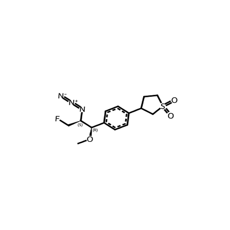 CO[C@H](c1ccc(C2CCS(=O)(=O)C2)cc1)[C@@H](CF)N=[N+]=[N-]